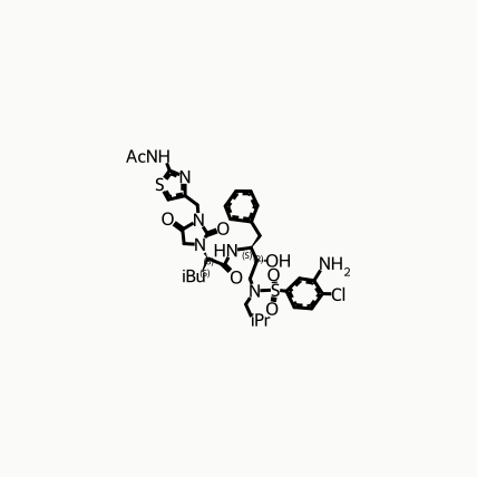 CC[C@H](C)[C@@H](C(=O)N[C@@H](Cc1ccccc1)[C@H](O)CN(CC(C)C)S(=O)(=O)c1ccc(Cl)c(N)c1)N1CC(=O)N(Cc2csc(NC(C)=O)n2)C1=O